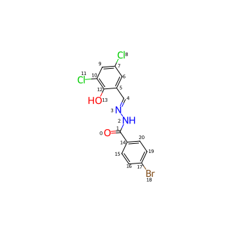 O=C(N/N=C/c1cc(Cl)cc(Cl)c1O)c1ccc(Br)cc1